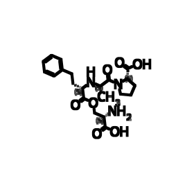 C[C@H](N[C@@H](CCc1ccccc1)C(=O)OC[C@H](N)C(=O)O)C(=O)N1CCC[C@H]1C(=O)O